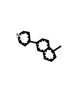 Cc1cccc2cc(-c3ccncc3)ccc12